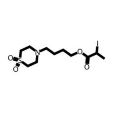 CC(I)C(=O)OCCCCN1CCS(=O)(=O)CC1